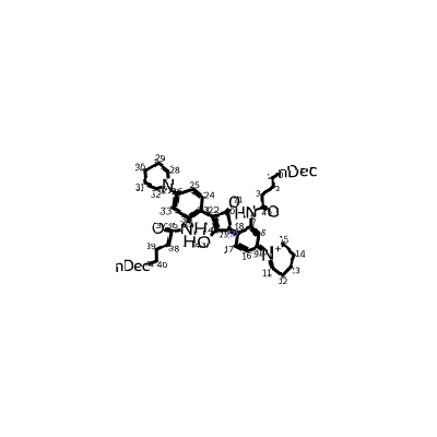 CCCCCCCCCCCCCC(=O)NC1=CC(=[N+]2CCCCC2)C=C/C1=C1/C(=O)C(c2ccc(N3CCCCC3)cc2NC(=O)CCCCCCCCCCCCC)=C1O